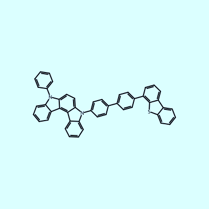 c1ccc(-n2c3ccccc3c3c4c5ccccc5n(-c5ccc(-c6ccc(-c7cccc8c7sc7ccccc78)cc6)cc5)c4ccc32)cc1